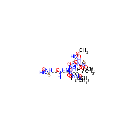 C=CCOC(=O)NCCCC[C@H](NC(=O)CNC(=O)[C@@H]1CSCN1C(=O)OC(C)(C)C)C(=O)NCC(=O)N[C@@H](CCCCNC(=O)CCCC[C@@H]1SCC2NC(=O)NC21)C(=O)NC(Cc1ccc(OC(C)(C)C)cc1)C(N)=O